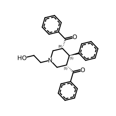 O=C(c1ccccc1)[C@H]1CN(CCO)C[C@@H](C(=O)c2ccccc2)[C@@H]1c1ccccc1